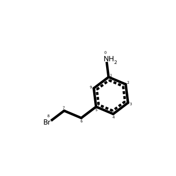 Nc1cccc(CCBr)c1